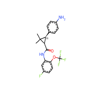 CC1(C)C(C(=O)Nc2cc(F)ccc2OC(F)(F)F)[C@@H]1c1ccc(N)cc1